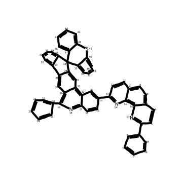 c1ccc(-c2ccc3ccc4ccc(-c5ccc6nc(-c7ccccc7)c7cc8c(cc7c6c5)C5(c6ccccc6Sc6ccccc65)c5ccccc5-8)nc4c3n2)cc1